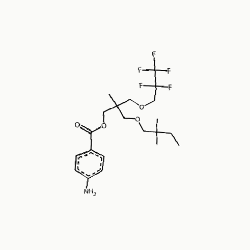 CCC(C)(C)COCC(C)(COCC(F)(F)C(F)(F)F)COC(=O)c1ccc(N)cc1